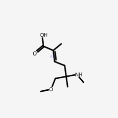 CNC(C)(C/C=C(\C)C(=O)O)COC